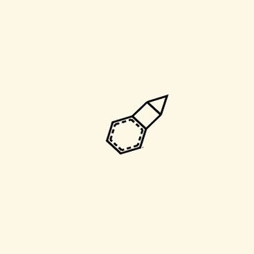 [c]1cccc2c1C1CC21